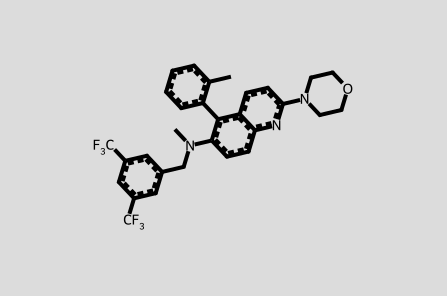 Cc1ccccc1-c1c(N(C)Cc2cc(C(F)(F)F)cc(C(F)(F)F)c2)ccc2nc(N3CCOCC3)ccc12